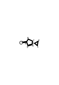 C1CC1.O=C1C=CCC1